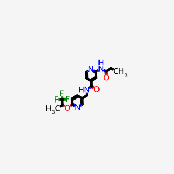 CCC(=O)Nc1cc(C(=O)NCc2ccc(OC(C)C(F)(F)F)nc2)ccn1